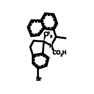 CC(c1cccc2ccccc12)N(C(=O)O)[C@]1(C(F)(F)F)CCc2cc(Br)ccc21